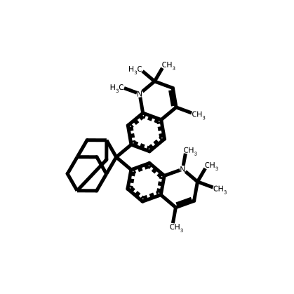 CC1=CC(C)(C)N(C)c2cc(C3(c4ccc5c(c4)N(C)C(C)(C)C=C5C)C4CC5CC(C4)CC3C5)ccc21